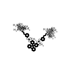 Cc1ccc(C2(c3ccc(C)c(OC(=O)Oc4cccc(CCC[Si](C)(O[Si](C)(C)C)O[Si](C)(C)O[Si](C)(C)C)c4)c3)c3ccccc3-c3ccccc32)cc1OC(=O)Oc1cccc(CCC[Si](C)(O[Si](C)(C)C)O[Si](C)(C)O[Si](C)(C)C)c1